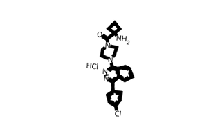 Cl.NC1(C(=O)N2CCN(c3nnc(-c4ccc(Cl)cc4)c4ccccc34)CC2)CCC1